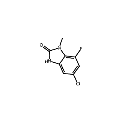 Cn1c(=O)[nH]c2cc(Cl)cc(F)c21